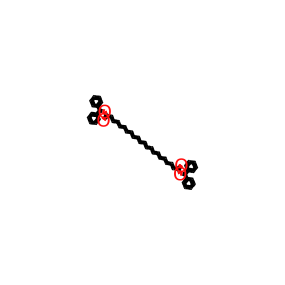 O=C(CCCCCCCCCCCCCCCCCCCCC(=O)OC(c1ccccc1)c1ccccc1)OC(c1ccccc1)c1ccccc1